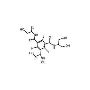 CCC(CO)NC(=O)c1c(I)c(C(=O)NC(CO)CO)c(I)c(C(NO)[C@H](C)O)c1I